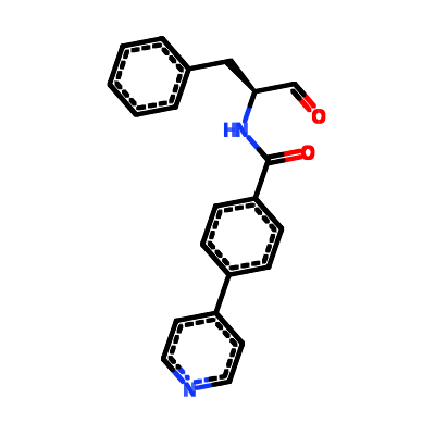 O=C[C@H](Cc1ccccc1)NC(=O)c1ccc(-c2ccncc2)cc1